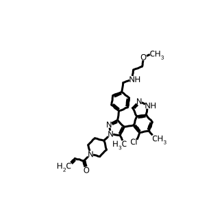 C=CC(=O)N1CCC(n2nc(-c3ccc(CNCCOC)cc3)c(-c3c(Cl)c(C)cc4[nH]ncc34)c2C)CC1